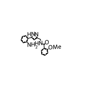 COc1ccccc1C(=O)NCc1cc(-c2ccccc2N)[nH]n1